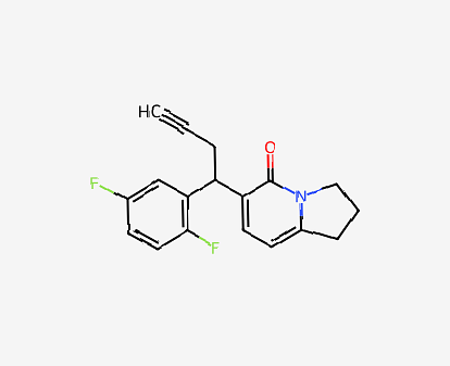 C#CCC(c1cc(F)ccc1F)c1ccc2n(c1=O)CCC2